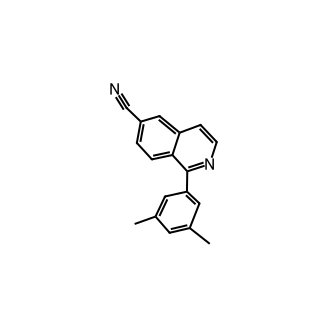 Cc1cc(C)cc(-c2nccc3cc(C#N)ccc23)c1